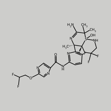 CC1(C)C(N)=N[C@](C)(c2nc(NC(=O)c3cnc(OCC(F)F)cn3)ccc2F)[C@H]2CC(F)(F)CNS21O